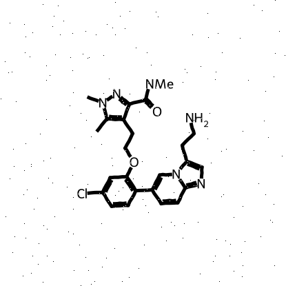 CNC(=O)c1nn(C)c(C)c1CCOc1cc(Cl)ccc1-c1ccc2ncc(CCN)n2c1